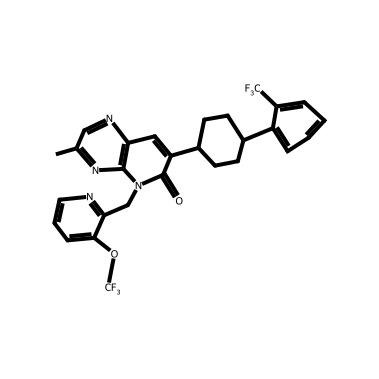 Cc1cnc2cc(C3CCC(c4ccccc4C(F)(F)F)CC3)c(=O)n(Cc3ncccc3OC(F)(F)F)c2n1